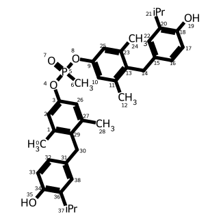 Cc1cc(OP(C)(=O)Oc2cc(C)c(Cc3ccc(O)c(C(C)C)c3)c(C)c2)cc(C)c1Cc1ccc(O)c(C(C)C)c1